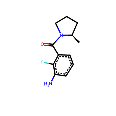 C[C@@H]1CCCN1C(=O)c1cccc(N)c1F